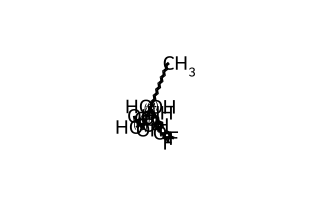 CCCCCCCCCCCCCC[C@@H](O)[C@@H](O)[C@H](CO[C@H]1OC(CO)[C@H](O)[C@H](O)C1O)NC(=O)Cc1ccc(Oc2ccc(F)c(F)c2)cc1